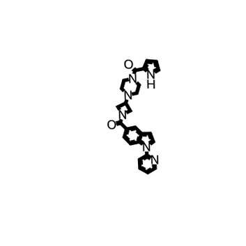 O=C(c1ccc2c(ccn2-c2ccccn2)c1)N1CC(N2CCN(C(=O)c3ccc[nH]3)CC2)C1